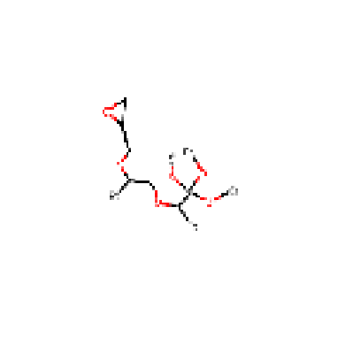 CCO[Si](OCC)(OCC)C(CC)OCC(CC)OCC1CO1